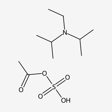 CC(=O)OS(=O)(=O)O.CCN(C(C)C)C(C)C